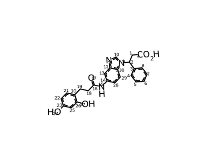 O=C(O)CC(c1ccccc1)n1cnc2cc(NC(=O)CCc3ccc(O)cc3O)ccc21